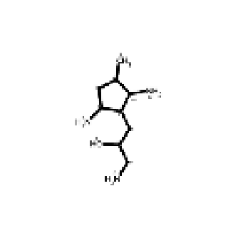 CC1CC(N)C(CC(O)CN)C1N